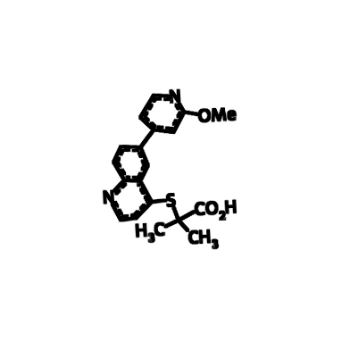 COc1cc(-c2ccc3nccc(SC(C)(C)C(=O)O)c3c2)ccn1